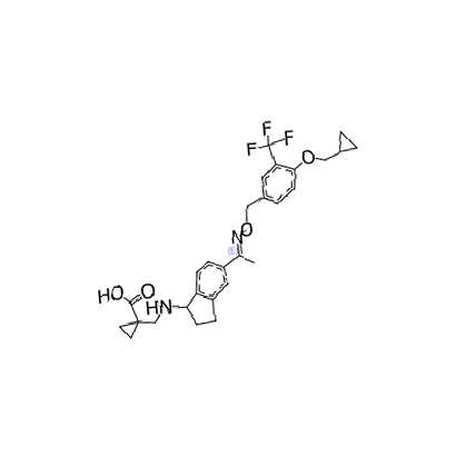 C/C(=N\OCc1ccc(OCC2CC2)c(C(F)(F)F)c1)c1ccc2c(c1)CCC2NCC1(C(=O)O)CC1